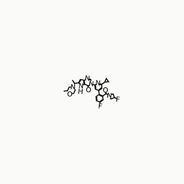 CC1CN(C(C)c2cc3ncn(-c4cc(-c5ccc(F)cc5C(=O)N5CC(F)C5)cc(C5CC5)n4)c(=O)c3[nH]2)CCO1